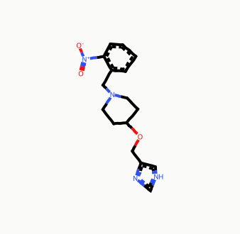 O=[N+]([O-])c1ccccc1CN1CCC(OCc2c[nH]cn2)CC1